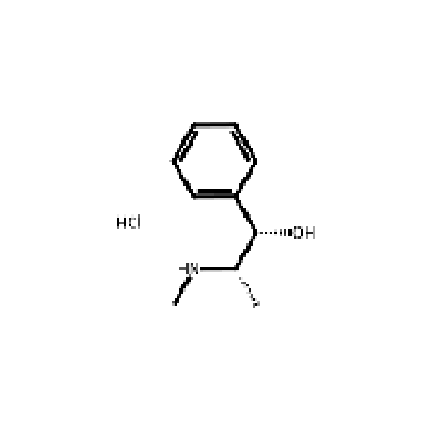 CN[C@@H](C)[C@@H](O)c1ccccc1.Cl